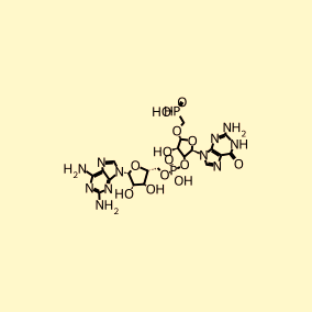 Nc1nc(N)c2ncn([C@@H]3O[C@H](COP(=O)(O)O[C@H]4[C@@H](O)[C@@H](OC[PH](=O)O)O[C@H]4n4cnc5c(=O)[nH]c(N)nc54)[C@H](O)[C@@H]3O)c2n1